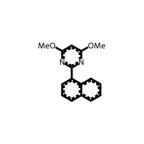 COc1cc(OC)nc(-c2cccc3ccccc23)n1